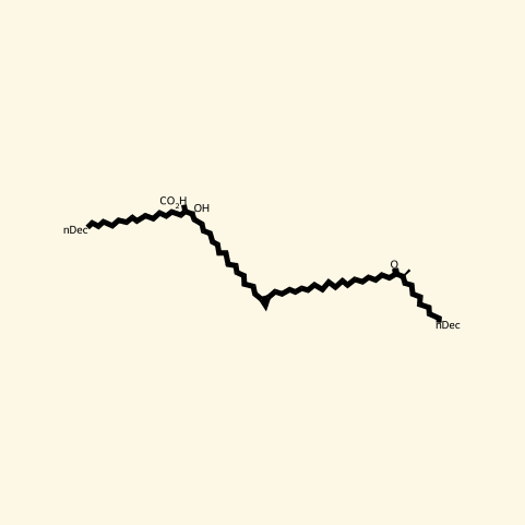 CCCCCCCCCCCCCCCCCCCCCCCCC(C(=O)O)[C@H](O)CCCCCCCCCCCCCCCC1CC1CCCCCCCCCCCCCCCCCCC(=O)[C@@H](C)CCCCCCCCCCCCCCCCCC